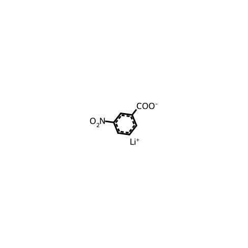 O=C([O-])c1cccc([N+](=O)[O-])c1.[Li+]